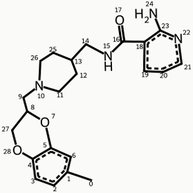 Cc1ccc2c(c1)OC(CN1CCC(CNC(=O)c3cccnc3N)CC1)CO2